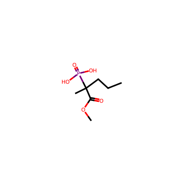 CCCC(C)(C(=O)OC)P(=O)(O)O